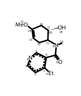 CCc1ccncc1C(=O)N(C)C1CC=C(OC)C[C@@H]1O